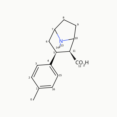 Cc1ccc([C@H]2CC3CCC([C@H]2C(=O)O)N3C)cc1